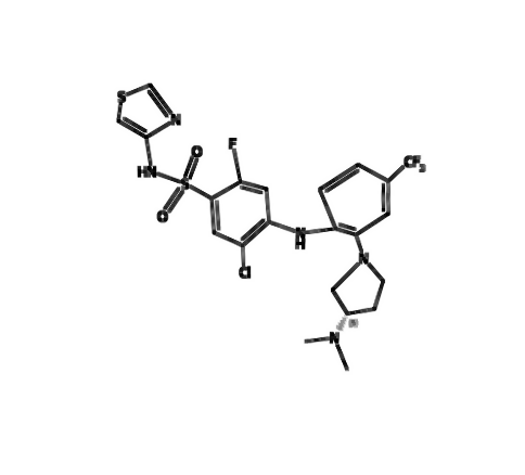 CN(C)[C@H]1CCN(c2cc(C(F)(F)F)ccc2Nc2cc(F)c(S(=O)(=O)Nc3cscn3)cc2Cl)C1